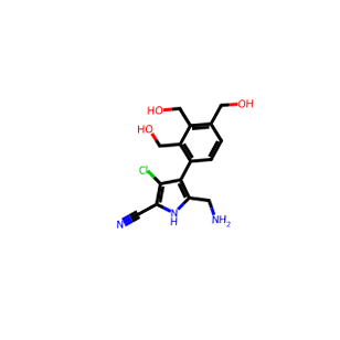 N#Cc1[nH]c(CN)c(-c2ccc(CO)c(CO)c2CO)c1Cl